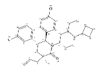 C=CC[C@@]1(C)C[C@H](c2cccc(Cl)c2)[C@@H](c2ccc(Cl)cc2)N([C@@H](CC)CN(CC)SC2CCC2)C1=O